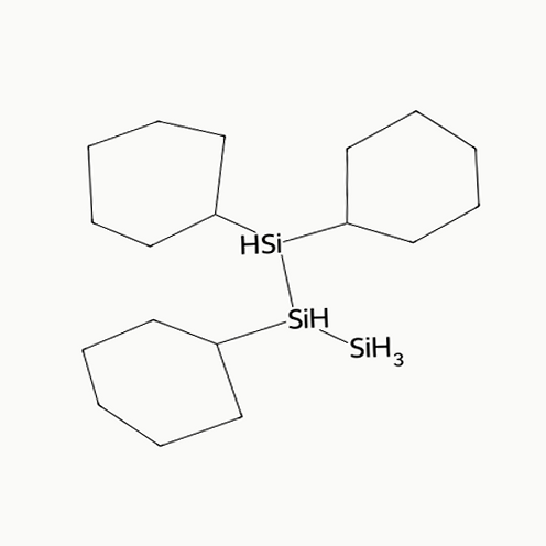 [SiH3][SiH](C1CCCCC1)[SiH](C1CCCCC1)C1CCCCC1